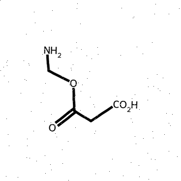 NCOC(=O)CC(=O)O